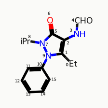 CCc1c(NC=O)c(=O)n(C(C)C)n1-c1ccccc1